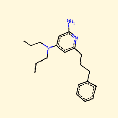 CCCN(CCC)c1cc(N)nc(CCCc2ccccc2)c1